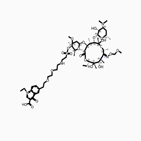 CC[C@@H]1OC(=O)[C@H](C)[C@@H](O[C@@H]2C[C@](C)(OC)[C@H](OS(=O)(=O)CCNCCOCCOCCc3ccc4c(c3)c(=O)c(C(=O)O)cn4CC)[C@H](C)O2)[C@H](C)[C@H](O[C@H]2O[C@@H](C)C[C@@H](N(C)C)[C@H]2O)[C@](C)(O)C[C@H](C)/C(=N\OCOC)[C@@H](C)[C@H](O)[C@]1(C)O